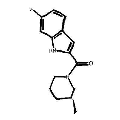 C[C@H]1CCCN(C(=O)c2cc3ccc(F)cc3[nH]2)C1